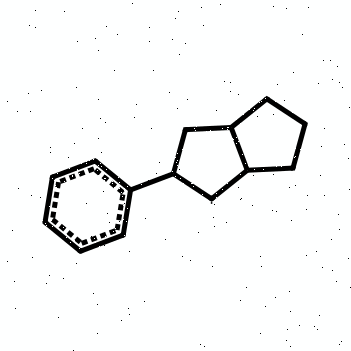 [CH]1C(c2ccccc2)CC2CCCC12